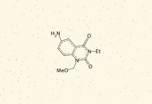 CCn1c(=O)c2cc(N)ccc2n(COC)c1=O